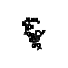 CC(C)OC(=O)C(C)(C)N[P@](=O)(CO[C@H](C)Cn1cnc2c(N)ncnc21)Oc1ccc(F)cc1